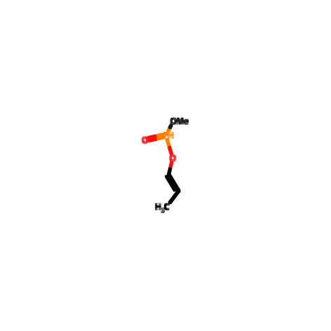 CC=CO[PH](=O)OC